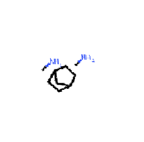 C1CC2CCC1C2.CN.CN